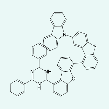 C1=CC(C2=NC(c3ccccc3)NC(c3cccc4oc5c(-c6cccc7sc8ccc(-n9c%10ccccc%10c%10ccccc%109)cc8c67)cccc5c34)N2)=CCC1